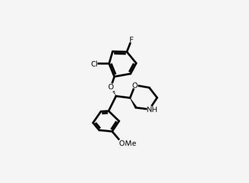 COc1cccc([C@H](Oc2ccc(F)cc2Cl)[C@@H]2CNCCO2)c1